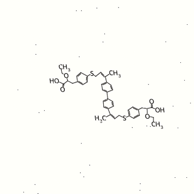 CCOC(Cc1ccc(SC/C=C(/C)c2ccc(-c3ccc(/C(C)=C\CSc4ccc(CC(OCC)C(=O)O)cc4)cc3)cc2)cc1)C(=O)O